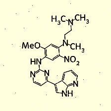 COc1cc(N(C)CCN(C)C)c([N+](=O)[O-])cc1Nc1nccc(-c2c[nH]c3ncccc23)n1